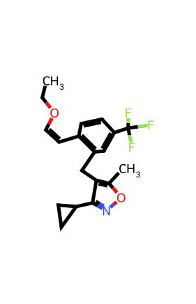 CCO/C=C\c1ccc(C(F)(F)F)cc1Cc1c(C2CC2)noc1C